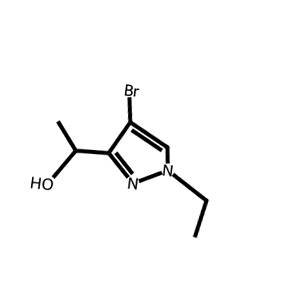 CCn1cc(Br)c(C(C)O)n1